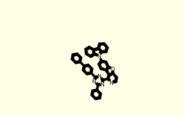 c1ccc(-c2ccc(-c3nc(-c4ccccc4)nc(-c4nccc5oc6cc(-n7c8ccccc8c8ccccc87)ccc6c45)n3)cc2)cc1